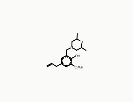 C=CCc1cc(CN2CC(C)OC(C)C2)c(O)c(OC)c1